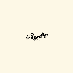 COc1cc2nccc(Oc3ccc(-c4cnc(N[C@@H]5CCCC[C@@H]5C(=O)NCCCN(C)C)n(C)c4=O)cc3F)c2cc1OC